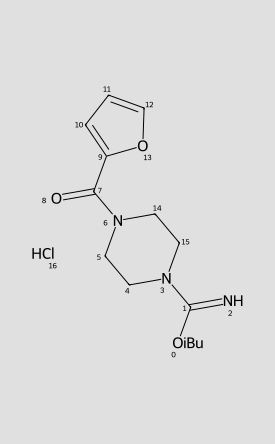 CC(C)COC(=N)N1CCN(C(=O)c2ccco2)CC1.Cl